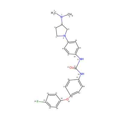 CN(C)C1CCN(c2ccc(NC(=O)Nc3ccc(Oc4ccc(F)cc4)cc3)cc2)C1